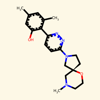 Cc1cc(C)c(-c2ccc(N3CC[C@@]4(CN(C)CCO4)C3)nn2)c(O)c1